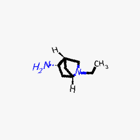 CCN1C[C@@H]2C[C@H]1C[C@@H]2N